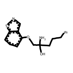 CC(C)CCCC(N)(O)COc1cccc2sncc12